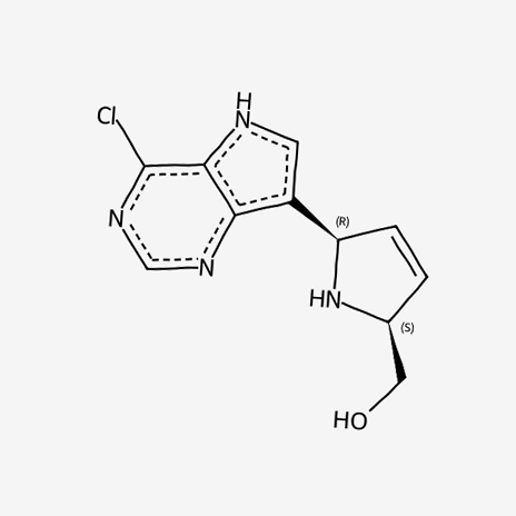 OC[C@@H]1C=C[C@H](c2c[nH]c3c(Cl)ncnc23)N1